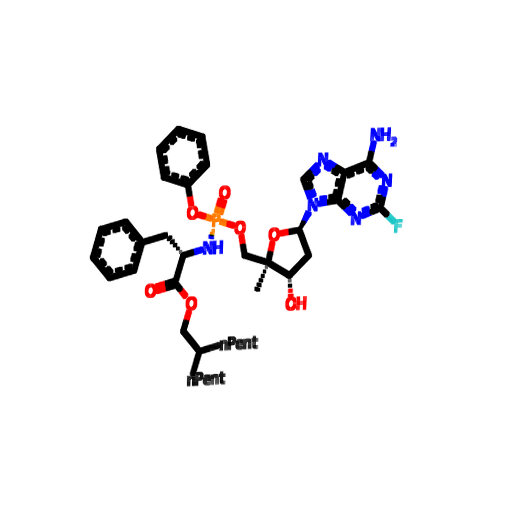 CCCCCC(CCCCC)COC(=O)[C@H](Cc1ccccc1)N[P@](=O)(OC[C@@]1(C)O[C@@H](n2cnc3c(N)nc(F)nc32)C[C@@H]1O)Oc1ccccc1